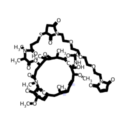 COc1cc2cc(c1Cl)N(C)C(=O)CC(OC(=O)C(C)N(C)C(=O)CCSC1CC(=O)N(CCOCCOCCOCCN3C(=O)C=CC3=O)C1=O)C1(C)OC1C(C)C1CC(O)(NC(=O)O1)C(OC)/C=C/C=C(\C)C2